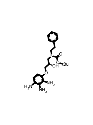 CC(C)(C)OC(=O)N(CCc1ccccc1)C[C@@H](O)COc1ccc(N)c(N)c1N